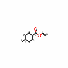 C=COC(=O)C1CCC(C)CC1